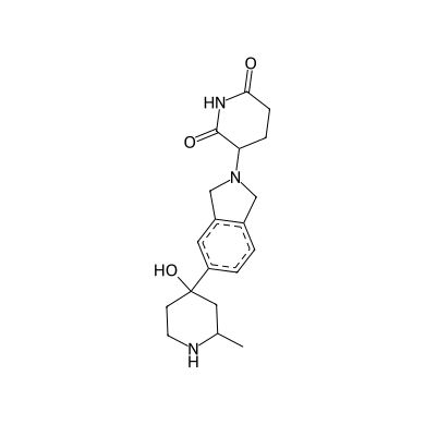 CC1CC(O)(c2ccc3c(c2)CN(C2CCC(=O)NC2=O)C3)CCN1